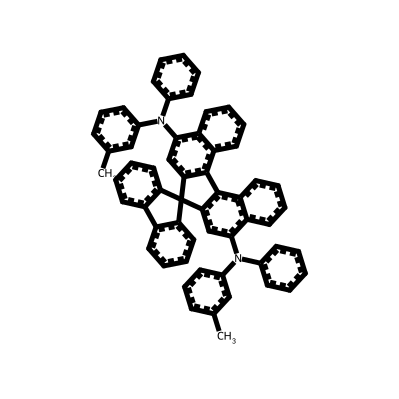 Cc1cccc(N(c2ccccc2)c2cc3c(c4ccccc24)-c2c(cc(N(c4ccccc4)c4cccc(C)c4)c4ccccc24)C32c3ccccc3-c3ccccc32)c1